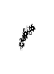 Cc1cccc(C(=O)Nc2cc3cn(CC(=O)N4CCN(C)CC4)nc3cc2F)n1